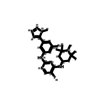 CN1C(C)(C)CC(Nc2nc(Nc3cc(F)cc(-c4nnnn4C)c3)ncc2F)CC1(C)C